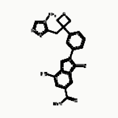 CNC(=O)c1cc(C(F)(F)F)c2cn(-c3cccc(C4(Cc5nncn5C)COC4)c3)c(=O)n2c1